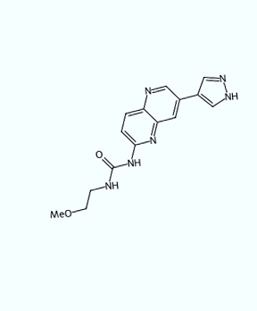 COCCNC(=O)Nc1ccc2ncc(-c3cn[nH]c3)cc2n1